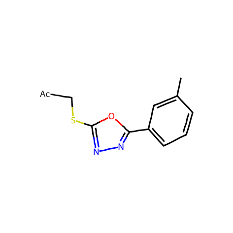 CC(=O)CSc1nnc(-c2cccc(C)c2)o1